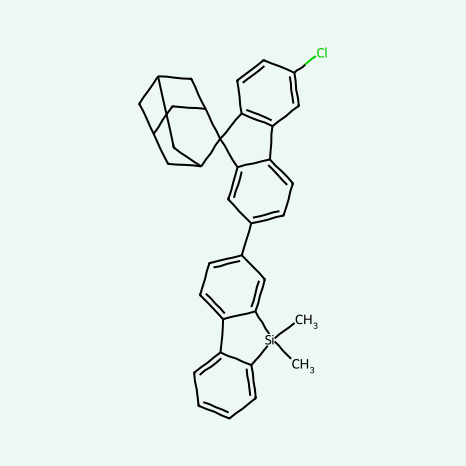 C[Si]1(C)c2ccccc2-c2ccc(-c3ccc4c(c3)C3(c5ccc(Cl)cc5-4)C4CC5CC(C4)CC3C5)cc21